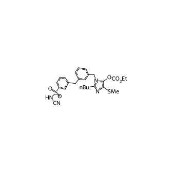 CCCCc1nc(SC)c(OC(=O)OCC)n1Cc1cccc(Cc2cccc(S(=O)(=O)NC#N)c2)c1